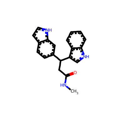 CNC(=O)CC(c1ccc2cc[nH]c2c1)c1c[nH]c2ccccc12